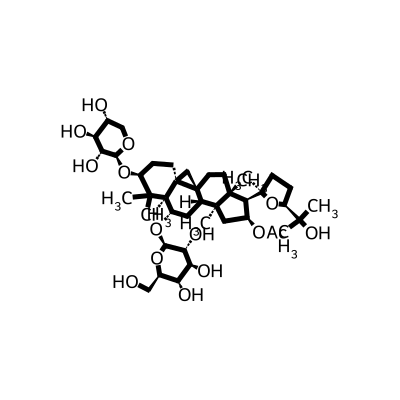 CC(=O)O[C@H]1C[C@@]2(C)[C@@H]3C[C@H](O[C@@H]4O[C@H](CO)[C@@H](O)[C@H](O)[C@H]4O)[C@H]4C(C)(C)[C@@H](O[C@@H]5OC[C@@H](O)[C@H](O)[C@H]5O)CC[C@@]45C[C@@]35CC[C@]2(C)[C@H]1[C@@]1(C)CC[C@@H](C(C)(C)O)O1